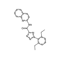 CCc1cccc(CC)c1-n1nnc(C(=O)Nc2ccc3ccccc3n2)n1